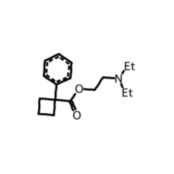 CCN(CC)CCOC(=O)C1(c2ccccc2)CCC1